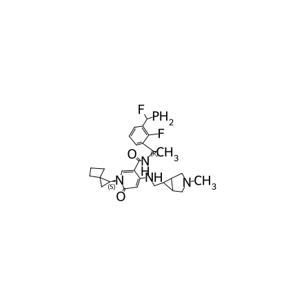 C[C@@H](NC(=O)c1cn([C@H]2CC23CCC3)c(=O)cc1NCC1C2CN(C)CC12)c1cccc(C(F)P)c1F